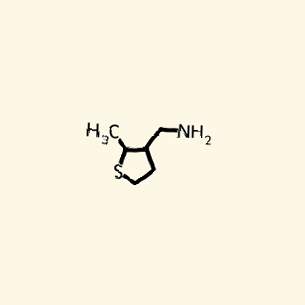 CC1SCCC1CN